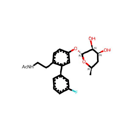 CC(=O)NCCc1ccc(O[C@H]2O[C@H](C)C[C@H](O)[C@@H]2O)cc1-c1cccc(F)c1